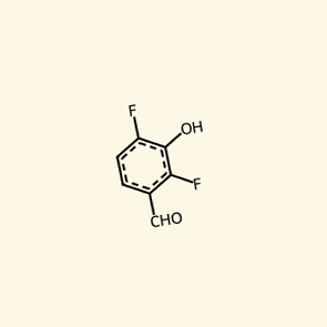 O=Cc1ccc(F)c(O)c1F